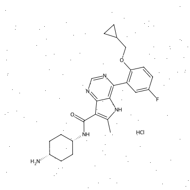 Cc1[nH]c2c(-c3cc(F)ccc3OCC3CC3)ncnc2c1C(=O)N[C@H]1CC[C@@H](N)CC1.Cl